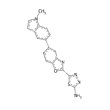 Cn1ccc2cc(-c3ccc4oc(-c5nnc(N)s5)nc4c3)ccc21